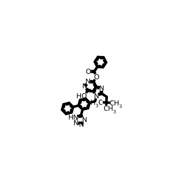 CC(C)(C)Cc1nc2c(OC(=O)c3ccccc3)nnc(O)c2n1Cc1ccc(-c2ccccc2)c(-c2nnn[nH]2)c1